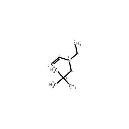 CCN([C]=S)CC(C)(C)C